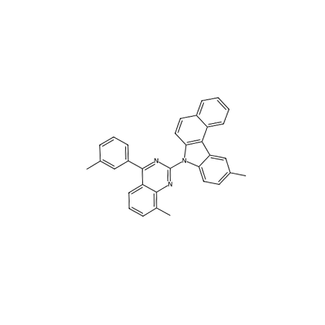 Cc1cccc(-c2nc(-n3c4ccc(C)cc4c4c5ccccc5ccc43)nc3c(C)cccc23)c1